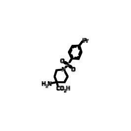 CC(C)c1ccc(S(=O)(=O)N2CCC(N)(C(=O)O)CC2)cc1